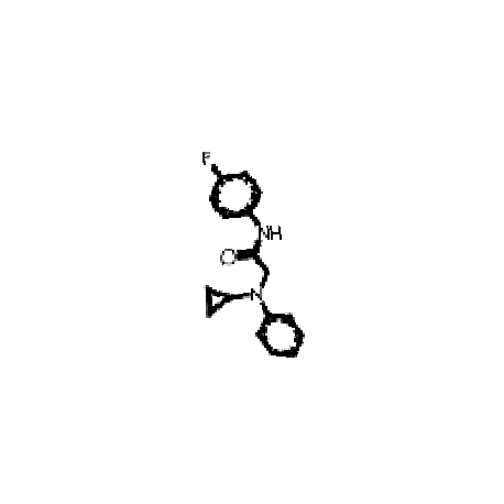 O=C(CN(c1ccccc1)C1CC1)Nc1ccc(F)cc1